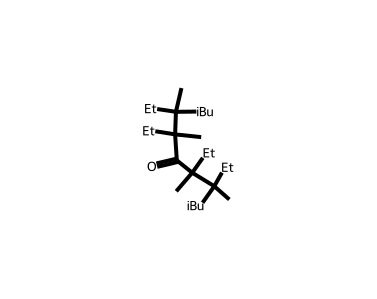 CCC(C)C(C)(CC)C(C)(CC)C(=O)C(C)(CC)C(C)(CC)C(C)CC